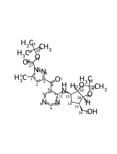 Cc1cc(C(=O)c2cncnc2N[C@@H]2C[C@H](CO)[C@H]3OC(C)(C)O[C@H]32)nn1C(=O)OC(C)(C)C